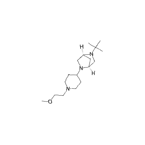 COCCN1CCC(N2C[C@@H]3C[C@H]2CN3C(C)(C)C)CC1